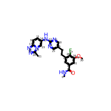 CNC(=O)c1cc(CCc2cnc(Nc3ccc4nnc(C)n4c3)nc2)c(F)c(OC)c1